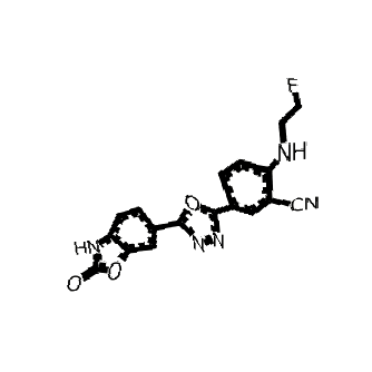 N#Cc1cc(-c2nnc(-c3ccc4[nH]c(=O)oc4c3)o2)ccc1NCCF